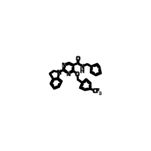 O=C(NCc1ccccc1)c1cnc(N2CCc3ccccc32)nc1OCc1ccc(C(F)(F)F)cc1